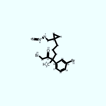 CC(CCCC1(CN=[N+]=[N-])CC1)(C(=O)CBr)c1cccc(Br)c1